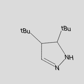 CC(C)(C)C1C=NNC1C(C)(C)C